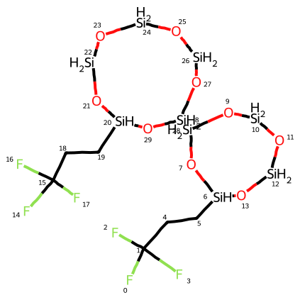 FC(F)(F)CC[SiH]1O[SiH2]O[SiH2]O[SiH2]O1.FC(F)(F)CC[SiH]1O[SiH2]O[SiH2]O[SiH2]O[SiH2]O1